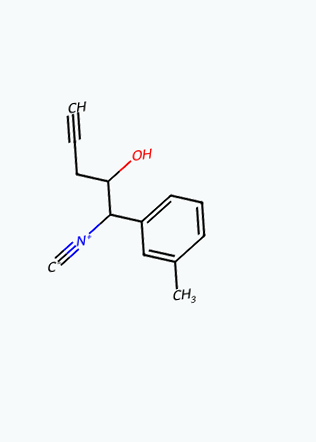 [C-]#[N+]C(c1cccc(C)c1)C(O)CC#C